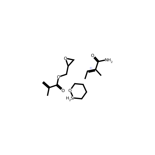 C/C=C(\C)C(N)=O.C1CC[SiH2]OC1.C=C(C)C(=O)OCC1CO1